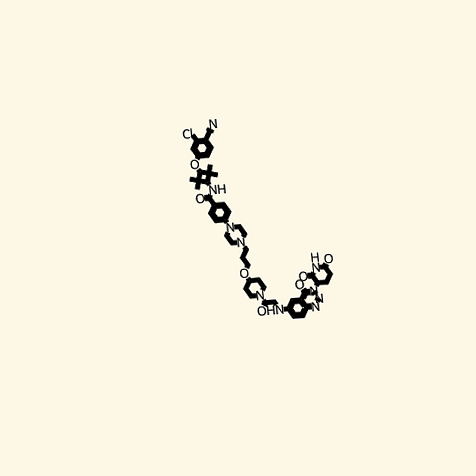 CC1(C)C(NC(=O)c2ccc(N3CCN(CCCOC4CCN(C(=O)CNc5ccc6nnn(C7CCC(=O)NC7=O)c(=O)c6c5)CC4)CC3)cc2)C(C)(C)C1Oc1ccc(C#N)c(Cl)c1